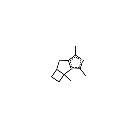 Cc1sc(C)c2c1CC1CCC21C